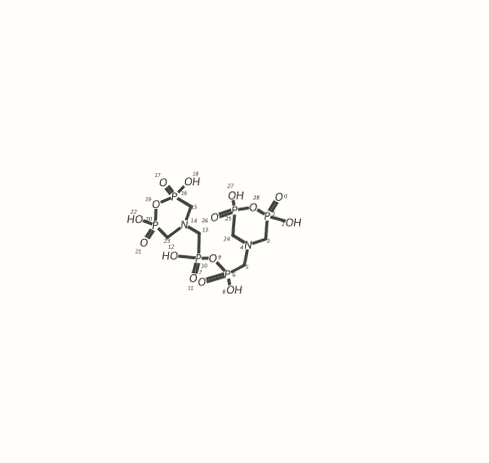 O=P1(O)CN(CP(=O)(O)OP(=O)(O)CN2CP(=O)(O)OP(=O)(O)C2)CP(=O)(O)O1